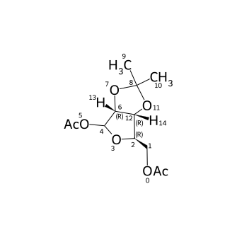 CC(=O)OC[C@H]1OC(OC(C)=O)[C@@H]2OC(C)(C)O[C@H]12